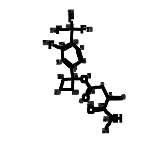 C=C(CC(=O)OC1(c2ccc(C(F)(F)F)c(F)c2)CCC1)C(=O)NC